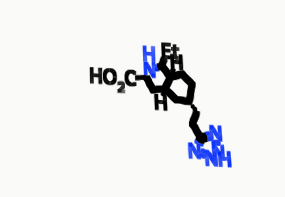 CCC1N[C@H](C(=O)O)C[C@H]2C[C@@H](CCc3nn[nH]n3)CC[C@@H]12